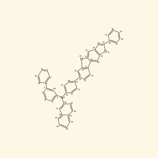 c1ccc(-c2cccc(N(c3ccc(-c4ccc5c(c4)oc4cc6cc(-c7ccccc7)oc6cc45)cc3)c3ccc4ccccc4c3)c2)cc1